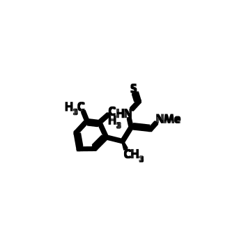 CN/C=C(\NC=S)[C@@H](C)c1cccc(C)c1C